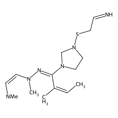 C/C=C(C)\C(=N/N(C)/C=C\NC)N1CCN(SCC=N)C1